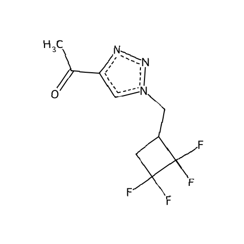 CC(=O)c1cn(CC2CC(F)(F)C2(F)F)nn1